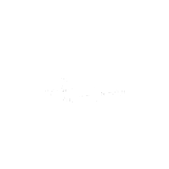 [CH3][Sn]([CH3])([CH3])[CH]=CC1CN(C(=O)O)C1